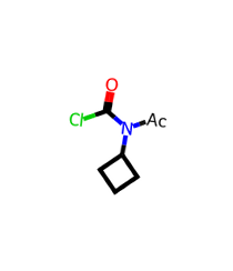 CC(=O)N(C(=O)Cl)C1CCC1